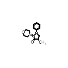 CC1CN(c2ccccc2)N(N2CCOCC2)C1=O